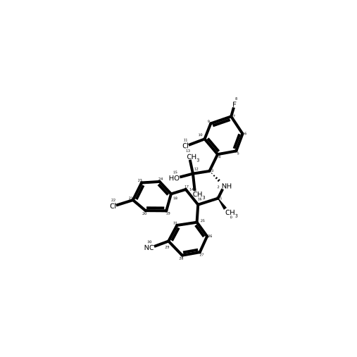 C[C@H](N[C@@H](c1ccc(F)cc1Cl)C(C)(C)O)C(Cc1ccc(Cl)cc1)c1cccc(C#N)c1